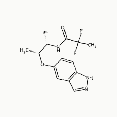 CC(C)[C@H](NC(=O)C(C)(F)F)[C@@H](C)Oc1ccc2[nH]ncc2c1